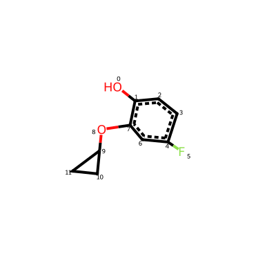 Oc1ccc(F)cc1OC1CC1